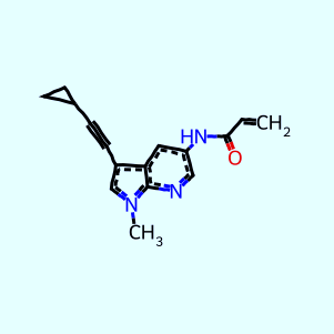 C=CC(=O)Nc1cnc2c(c1)c(C#CC1CC1)cn2C